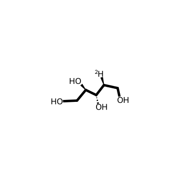 [2H][C@@H](CO)[C@H](O)[C@H](O)CO